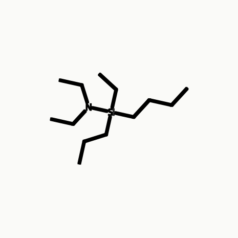 CCCC[Si](CC)(CCC)N(CC)CC